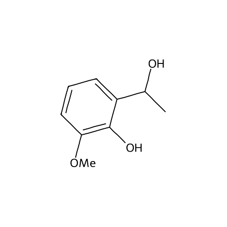 COc1cccc(C(C)O)c1O